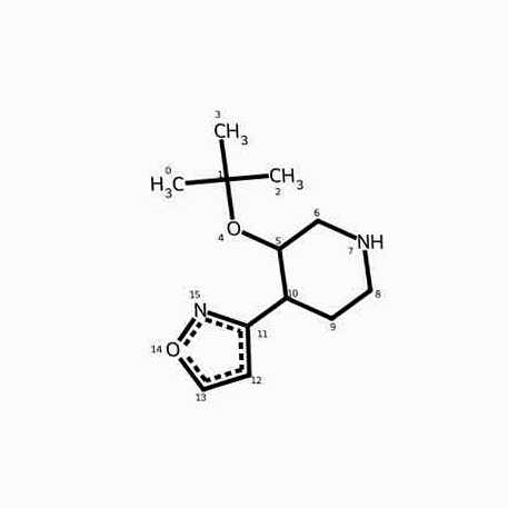 CC(C)(C)OC1CNCCC1c1ccon1